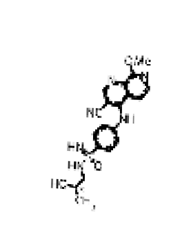 COc1nccc2c(Nc3ccc([S@](=N)(=O)NC[C@@H](C)O)cc3)c(C#N)cnc12